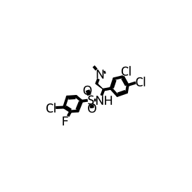 CN(C)C[C@H](NS(=O)(=O)c1ccc(Cl)c(F)c1)c1ccc(Cl)c(Cl)c1